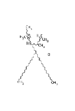 CCCCCCCCCCCCCCCCCCC(CCCCCCCCCCCCCCCCCC)CCCCC(CCC(C)CCCC(C)C)NCC[n+]1ccn(CCCC)c1C.[Cl-]